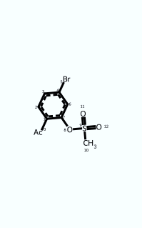 CC(=O)c1ccc(Br)cc1OS(C)(=O)=O